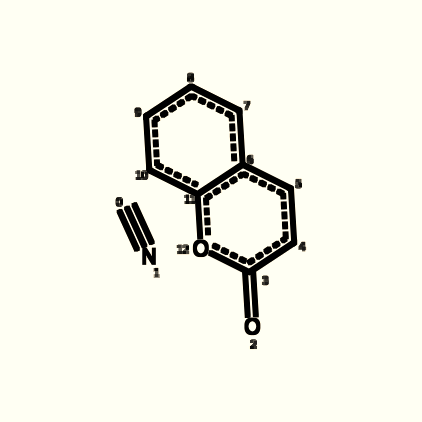 C#N.O=c1ccc2ccccc2o1